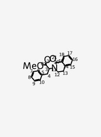 COC(=O)C(Cc1ccccc1)N1CCc2ccccc2C1=O